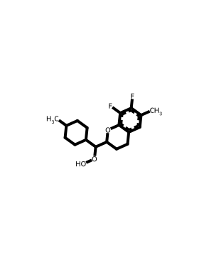 Cc1cc2c(c(F)c1F)OC(C(OO)C1CCC(C)CC1)CC2